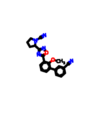 COc1c(-c2cccc(C#N)c2)cccc1-c1nc(C2CCCN2C#N)no1